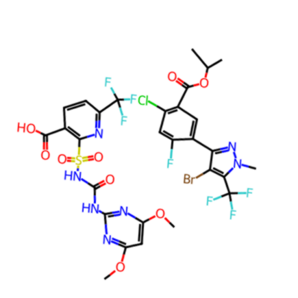 CC(C)OC(=O)c1cc(-c2nn(C)c(C(F)(F)F)c2Br)c(F)cc1Cl.COc1cc(OC)nc(NC(=O)NS(=O)(=O)c2nc(C(F)(F)F)ccc2C(=O)O)n1